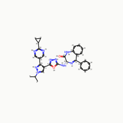 CC(C)n1cc(-c2nnc(N[C@H]3N=C(c4ccccc4)c4ccccc4NC3=O)o2)c(-c2cnc(C3CC3)nc2)n1